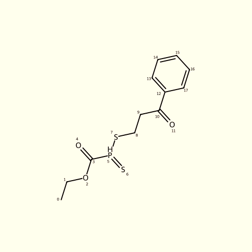 CCOC(=O)[PH](=S)SCCC(=O)c1ccccc1